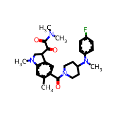 Cc1cc2c(cc1C(=O)N1CCC(N(C)c3ccc(F)cc3)CC1)C(C(=O)C(=O)N(C)C)CN2C